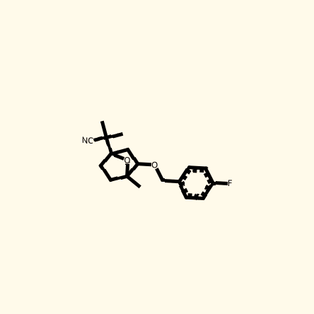 CC12CCC(C(C)(C)C#N)(CC1OCc1ccc(F)cc1)O2